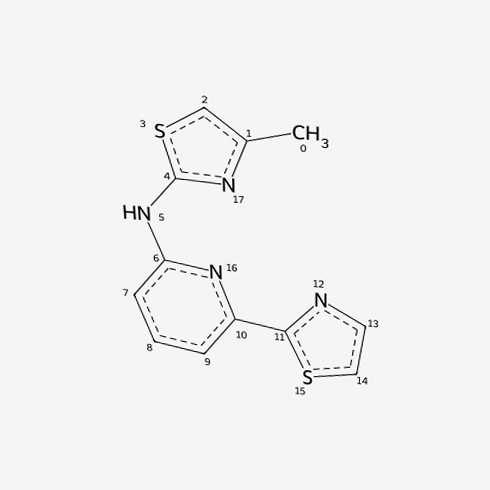 Cc1csc(Nc2cccc(-c3nccs3)n2)n1